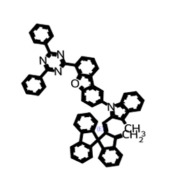 C=C1/C(=C\c2c(C)c3ccccc3n2-c2ccc3oc4c(-c5nc(-c6ccccc6)nc(-c6ccccc6)n5)cccc4c3c2)C2(c3ccccc31)c1ccccc1-c1ccccc12